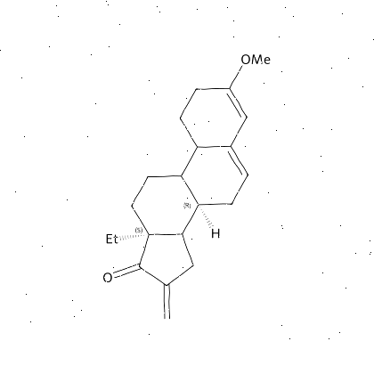 C=C1CC2[C@@H]3CC=C4C=C(OC)CCC4C3CC[C@]2(CC)C1=O